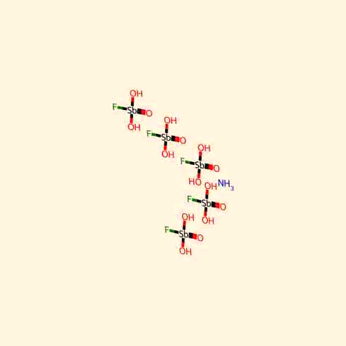 N.[O]=[Sb]([OH])([OH])[F].[O]=[Sb]([OH])([OH])[F].[O]=[Sb]([OH])([OH])[F].[O]=[Sb]([OH])([OH])[F].[O]=[Sb]([OH])([OH])[F]